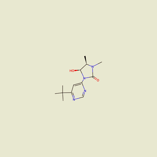 C[C@@H]1[C@H](O)N(c2cc(C(C)(C)C)ncn2)C(=O)N1C